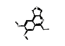 CCc1nc2c(c3cc(OC)c(OC)cc13)CN=C2